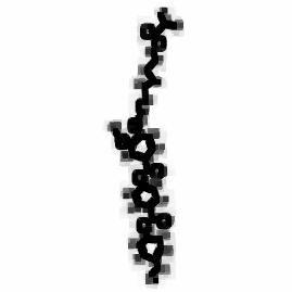 C=C(C)C(=O)OCCCCCCCCOc1ccc(C(=O)Oc2ccc(C(=O)Oc3ccc(CC)cc3)cc2)cc1OC